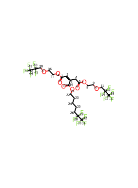 O=C(/C=C(/CC(=O)OCCOCC(F)(F)C(F)(F)F)C(=O)OCCCCCC(F)(F)C(F)(F)F)OCCOCC(F)(F)C(F)(F)F